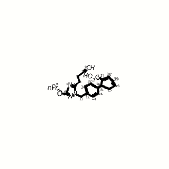 C#CCCc1nc(OCCC)nn1Cc1ccc(-c2ccccc2C(=O)O)cc1